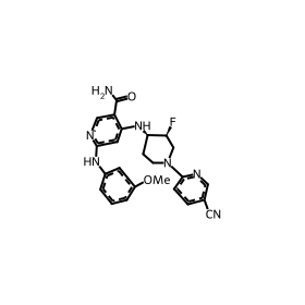 COc1cccc(Nc2cc(N[C@@H]3CCN(c4ccc(C#N)cn4)C[C@@H]3F)c(C(N)=O)cn2)c1